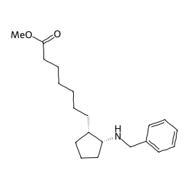 COC(=O)CCCCCC[C@H]1CCC[C@H]1NCc1ccccc1